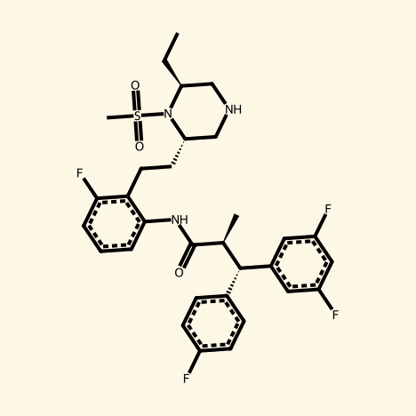 CC[C@H]1CNC[C@H](CCc2c(F)cccc2NC(=O)[C@@H](C)[C@@H](c2ccc(F)cc2)c2cc(F)cc(F)c2)N1S(C)(=O)=O